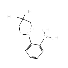 CN(C)c1ccccc1B1OCC(C)(C)CO1